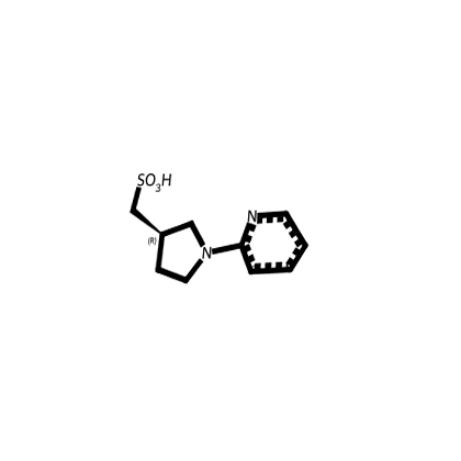 O=S(=O)(O)C[C@@H]1CCN(c2ccccn2)C1